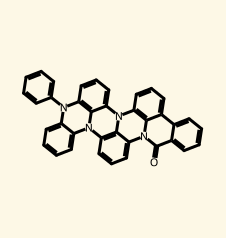 O=c1c2ccccc2c2cccc3c2n1c1cccc2c1-n3c1cccc3c1n2c1ccccc1n3-c1ccccc1